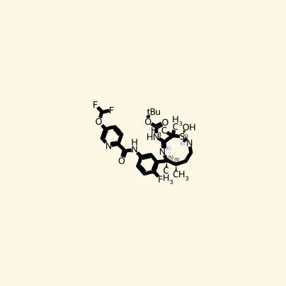 C[C@H]1CC/N=[S@](/O)C(C)(C)/C(NC(=O)OC(C)(C)C)=N\[C@]1(C)c1cc(NC(=O)c2ccc(OC(F)F)cn2)ccc1F